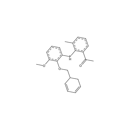 COc1cccc(Pc2c(C)cccc2C(C)=O)c1OCC1C=CC=CC1